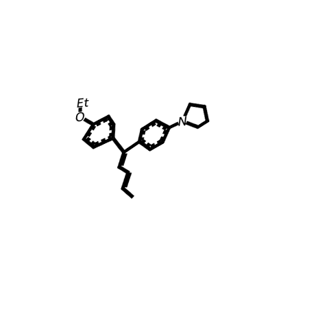 C/C=C/C=C(/c1ccc(OCC)cc1)c1ccc(N2CCCC2)cc1